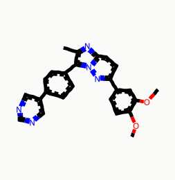 COc1ccc(-c2ccc3nc(C)c(-c4ccc(-c5cncnc5)cc4)n3n2)cc1OC